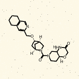 O=C1CO[C@H]2CCN(C(=O)N3C[C@H]4C[C@@H]3C[C@@H]4OCc3cc4c(cn3)CCCC4)C[C@H]2N1